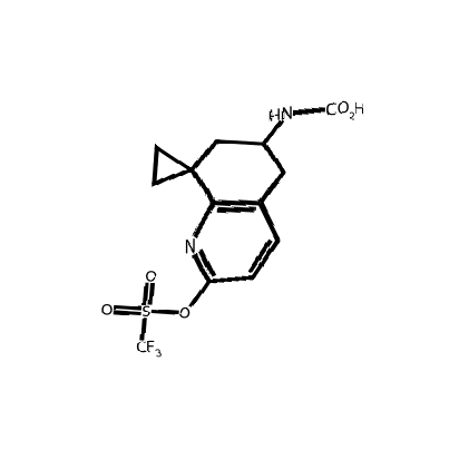 O=C(O)NC1Cc2ccc(OS(=O)(=O)C(F)(F)F)nc2C2(CC2)C1